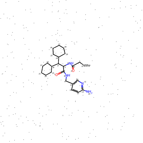 CNCC(=O)NC(C(=O)NCc1ccc(N)nc1)C(C1CCCCC1)C1CCCCC1